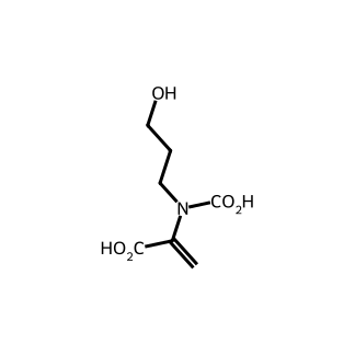 C=C(C(=O)O)N(CCCO)C(=O)O